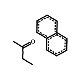 CCC(C)=O.c1ccc2ccccc2c1